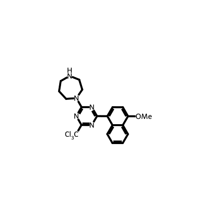 COc1ccc(-c2nc(N3CCCNCC3)nc(C(Cl)(Cl)Cl)n2)c2ccccc12